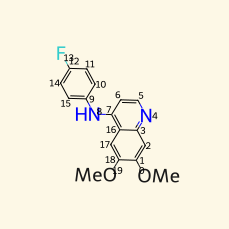 COc1cc2nccc(Nc3ccc(F)cc3)c2cc1OC